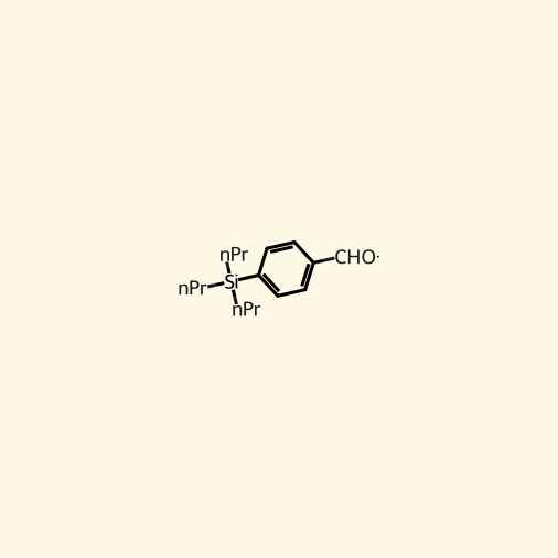 CCC[Si](CCC)(CCC)c1ccc([C]=O)cc1